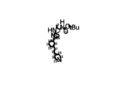 C=C(CNC(=O)OC(C)(C)C)Nc1nc(-c2cccc(/C=C/c3ccncc3)c2)cs1